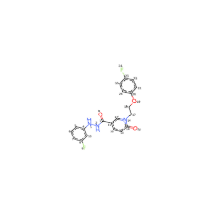 O=C(NNc1cccc(F)c1)c1ccc(=O)n(CCOc2ccc(F)cc2)c1